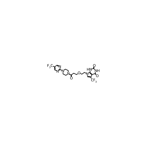 O=C(CCOCCn1cc(C(F)(F)F)c2c(=O)[nH]c(=O)[nH]c21)N1CCN(c2ncc(C(F)(F)F)cn2)CC1